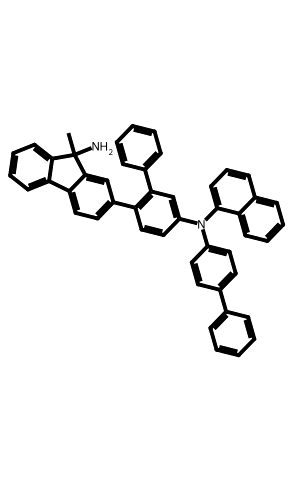 CC1(N)c2ccccc2-c2ccc(-c3ccc(N(c4ccc(-c5ccccc5)cc4)c4cccc5ccccc45)cc3-c3ccccc3)cc21